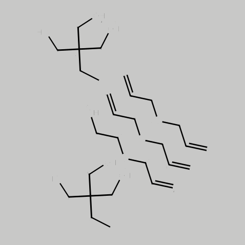 C=CCOCC=C.C=CCOCC=C.C=CCOCCO.CCC(CO)(CO)CO.CCC(CO)(CO)CO